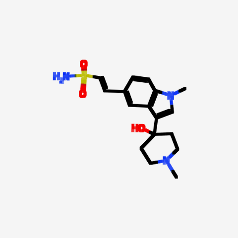 CN1CCC(O)(c2cn(C)c3ccc(C=CS(N)(=O)=O)cc23)CC1